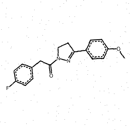 COc1ccc(C2=NN(C(=O)Cc3ccc(F)cc3)CC2)cc1